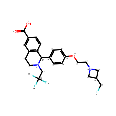 O=C(O)c1ccc2c(c1)CCN(CC(F)(F)F)C2c1ccc(OCCN2CC(CF)C2)cc1